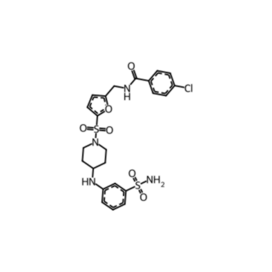 NS(=O)(=O)c1cccc(NC2CCN(S(=O)(=O)c3ccc(CNC(=O)c4ccc(Cl)cc4)o3)CC2)c1